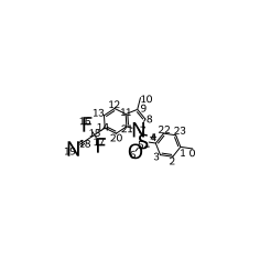 Cc1ccc([S+]([O-])n2cc(C)c3ccc(C(F)(F)C#N)cc32)cc1